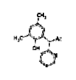 CC(=O)C(c1ccccn1)c1cc(C)cc(C)c1O